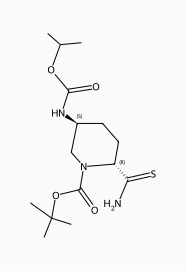 CC(C)OC(=O)N[C@H]1CC[C@H](C(N)=S)N(C(=O)OC(C)(C)C)C1